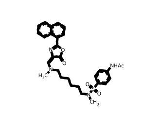 CC(=O)Nc1ccc(S(=O)(=O)N(C)CCCCCCN(C)/C=C2/N=C(c3cccc4ccccc34)OC2=O)cc1